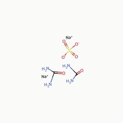 NC(N)=O.NC(N)=O.O=S(=O)([O-])[O-].[Na+].[Na+]